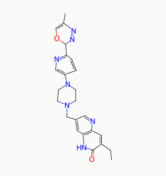 CCc1cc2ncc(CN3CCN(c4ccc(C5N=NC(C)=CO5)nc4)CC3)cc2[nH]c1=O